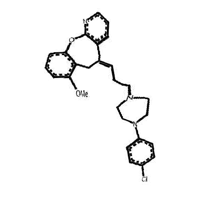 COc1cccc2c1CC(=CCCN1CCN(c3ccc(Cl)cc3)CC1)c1cccnc1O2